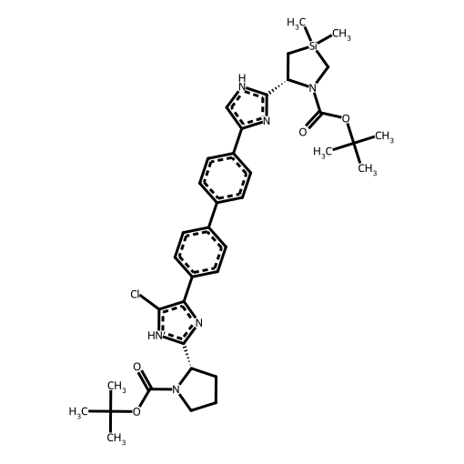 CC(C)(C)OC(=O)N1C[Si](C)(C)C[C@H]1c1nc(-c2ccc(-c3ccc(-c4nc([C@@H]5CCCN5C(=O)OC(C)(C)C)[nH]c4Cl)cc3)cc2)c[nH]1